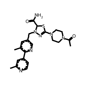 CC(=O)N1CCN(C2=NN(Cc3cnc(-c4ccnc(C)c4)c(C)c3)C(C(N)=O)S2)CC1